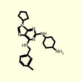 Cc1cccc(CNc2nc(NC3CCC(N)CC3)nc3c2ncn3C2CCCC2)c1